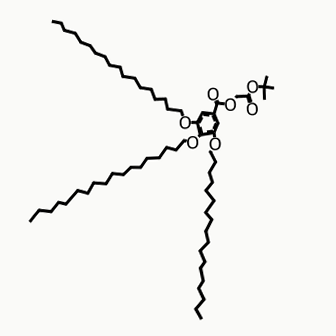 CCCCCCCCCCCCCCCCCCOc1cc(C(=O)OCC(=O)OC(C)(C)C)cc(OCCCCCCCCCCCCCCCCCC)c1OCCCCCCCCCCCCCCCCCC